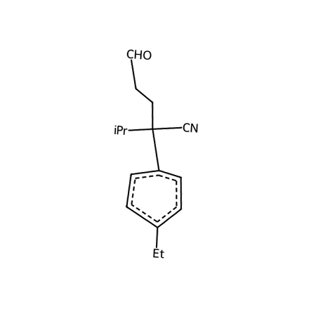 CCc1ccc(C(C#N)(CCC=O)C(C)C)cc1